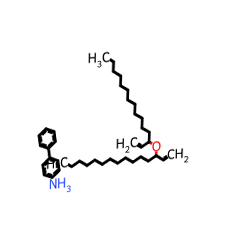 C=CC(CCCCCCCCCCCC)OC(C=C)CCCCCCCCCCCC.N.c1ccc(-c2ccccc2)cc1